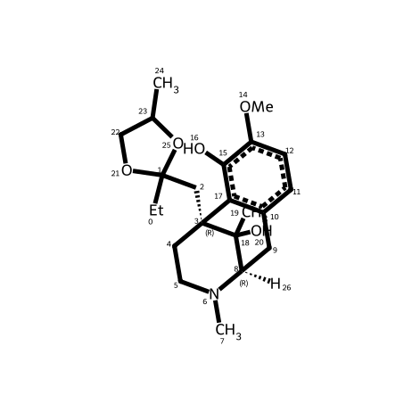 CCC1(C[C@]23CCN(C)[C@H](Cc4ccc(OC)c(O)c42)C3(C)O)OCC(C)O1